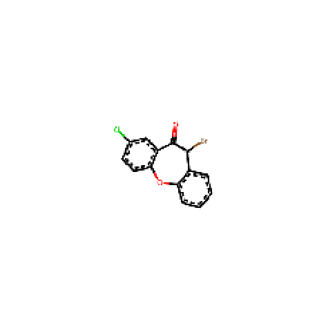 O=C1c2cc(Cl)ccc2Oc2ccccc2C1Br